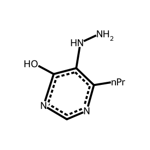 CCCc1ncnc(O)c1NN